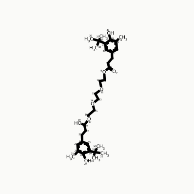 Cc1cc(CCC(=O)OCCOCCOCCOC(O)CCc2cc(C)c(O)c(C(C)(C)C)c2)cc(C(C)(C)C)c1O